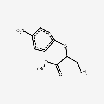 CCCCOC(=O)C(CN)Sc1ccc([N+](=O)[O-])cn1